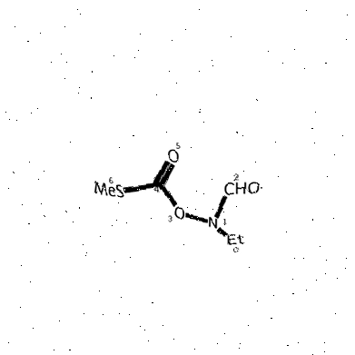 CCN([C]=O)OC(=O)SC